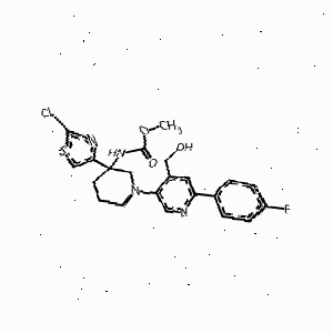 COC(=O)NC1(c2csc(Cl)n2)CCCN(c2cnc(-c3ccc(F)cc3)cc2CO)C1